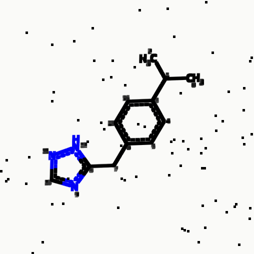 CC(C)c1ccc(Cc2ncn[nH]2)cc1